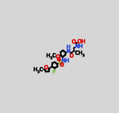 COc1ccc(NC(=O)[C@@H](C)CNC(=O)O)cc1NS(=O)(=O)c1ccc(-c2ccc(C)o2)c(F)c1